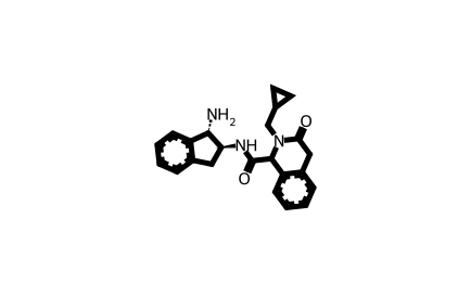 N[C@H]1c2ccccc2C[C@@H]1NC(=O)C1c2ccccc2CC(=O)N1CC1CC1